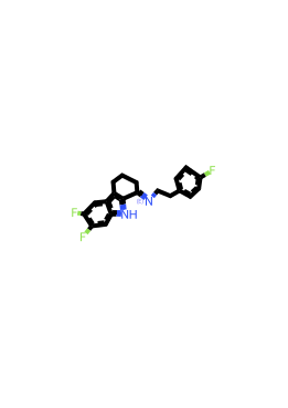 Fc1ccc(CC/N=C2\CCCc3c2[nH]c2cc(F)c(F)cc32)cc1